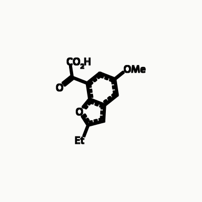 CCc1cc2cc(OC)cc(C(=O)C(=O)O)c2o1